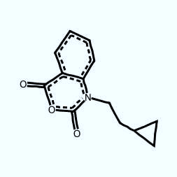 O=c1oc(=O)n(CCC2CC2)c2ccccc12